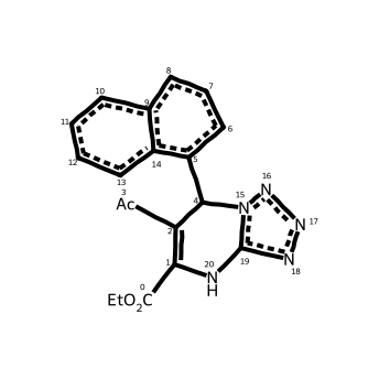 CCOC(=O)C1=C(C(C)=O)C(c2cccc3ccccc23)n2nnnc2N1